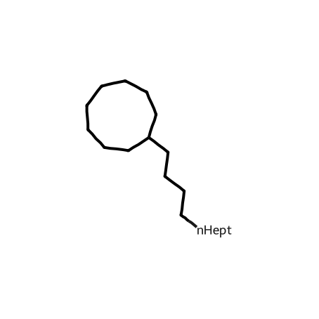 CCCCCCCCCCCC1CCCCCCCC1